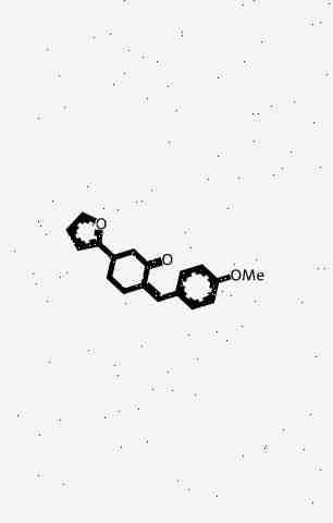 COc1ccc(/C=C2/CCC(c3ccco3)CC2=O)cc1